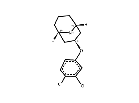 Clc1ccc(O[C@@H]2C[C@H]3CCC[C@@H](C2)N3)cc1Cl